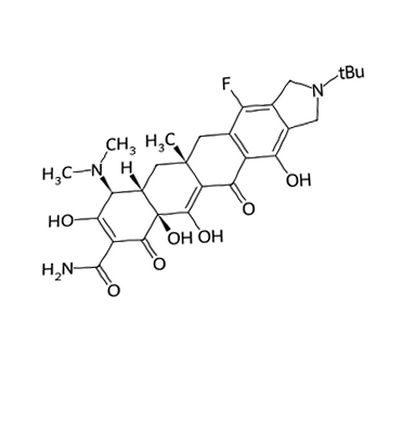 CN(C)[C@@H]1C(O)=C(C(N)=O)C(=O)[C@@]2(O)C(O)=C3C(=O)c4c(O)c5c(c(F)c4C[C@@]3(C)C[C@@H]12)CN(C(C)(C)C)C5